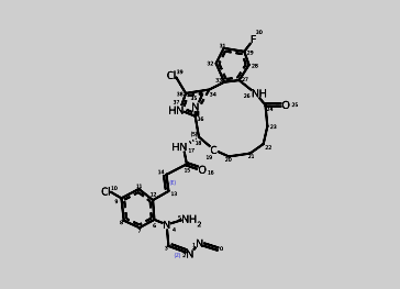 C=N/N=C\N(N)c1ccc(Cl)cc1/C=C/C(=O)N[C@H]1CCCCCC(=O)Nc2cc(F)ccc2-c2nc1[nH]c2Cl